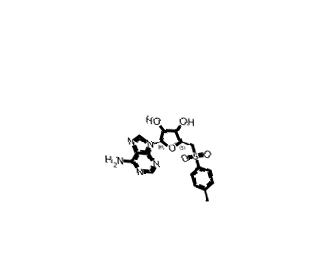 Cc1ccc(S(=O)(=O)C[C@H]2O[C@@H](n3cnc4c(N)ncnc43)C(O)C2O)cc1